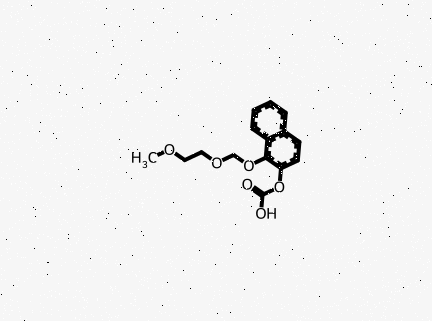 COCCOCOc1c(OC(=O)O)ccc2ccccc12